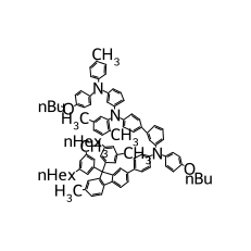 CCCCCCc1cc(C)cc(C2(c3cc(C)cc(CCCCCC)c3)c3cc(C)ccc3-c3ccc(-c4ccc(N(c5ccc(OCCCC)cc5)c5cccc(-c6ccc(N(c7cccc(N(c8ccc(C)cc8)c8ccc(OCCCC)cc8)c7)c7cc(C)ccc7C)cc6)c5)cc4)cc32)c1